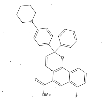 COC(=O)c1cc2c(F)cccc2c2c1C=CC(c1ccccc1)(c1ccc(N3CCCCC3)cc1)O2